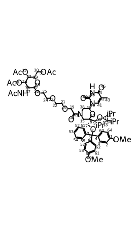 COc1ccc(C(OC[C@]2(CO[Si](C(C)C)(C(C)C)C(C)C)CN(C(=O)COCCOCCO[C@@H]3O[C@H](COC(C)=O)[C@H](OC(C)=O)[C@H](OC(C)=O)[C@H]3NC(C)=O)C[C@H](n3cc(C)c(=O)[nH]c3=O)O2)(c2ccccc2)c2ccc(OC)cc2)cc1